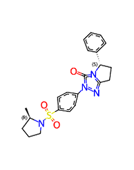 C[C@@H]1CCCN1S(=O)(=O)c1ccc(-n2nc3n(c2=O)[C@H](c2ccccc2)CC3)cc1